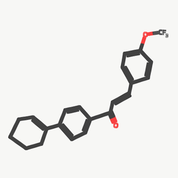 O=C(C=Cc1ccc(OC(F)(F)F)cc1)c1ccc(C2=CCCCC2)cc1